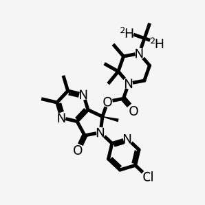 [2H]C([2H])(C)N1CCN(C(=O)O[C@@]2(C)c3nc(C)c(C)nc3C(=O)N2c2ccc(Cl)cn2)C(C)(C)C1C